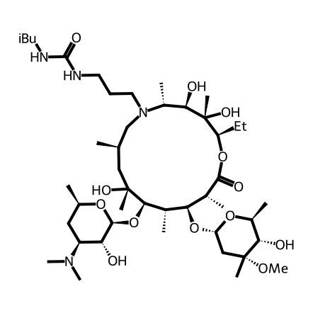 CCC(C)NC(=O)NCCCN1C[C@H](C)C[C@@](C)(O)[C@H](O[C@@H]2O[C@H](C)C[C@H](N(C)C)[C@H]2O)[C@@H](C)[C@H](O[C@H]2C[C@@](C)(OC)[C@@H](O)[C@H](C)O2)[C@@H](C)C(=O)O[C@H](CC)[C@@](C)(O)[C@H](O)[C@H]1C